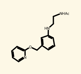 CC(=O)NCCNc1c[c]cc(COc2ccccn2)c1